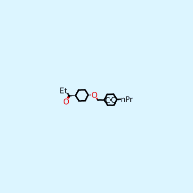 CCCC12CCC(CO[C@H]3CC[C@H](C(=O)CC)CC3)(CC1)CC2